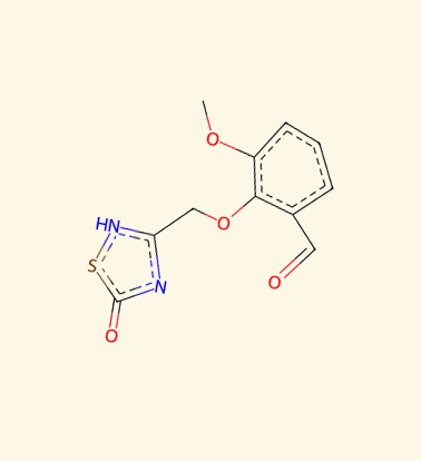 COc1cccc(C=O)c1OCc1nc(=O)s[nH]1